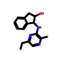 CCc1cnc(C)c(NC2c3ccccc3CC2O)n1